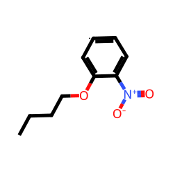 CCCCOc1c[c]ccc1[N+](=O)[O-]